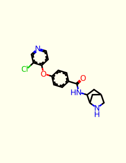 O=C(NC1CC2CNC1C2)c1ccc(Oc2ccncc2Cl)cc1